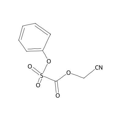 N#CCOC(=O)S(=O)(=O)Oc1ccccc1